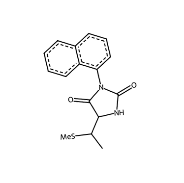 CSC(C)C1NC(=O)N(c2cccc3ccccc23)C1=O